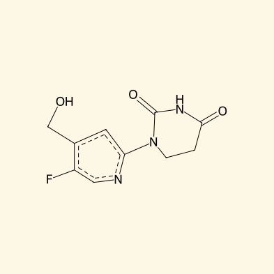 O=C1CCN(c2cc(CO)c(F)cn2)C(=O)N1